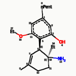 CCCCCc1cc(O)c([C@@H]2C=C(C)CC[C@@]2(N)CC)c(OCC)c1